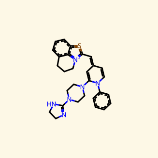 C1=CN(c2ccccc2)C(N2CCN(C3=NCCN3)CC2)=CC1=Cc1sc2cccc3c2[n+]1CCC3